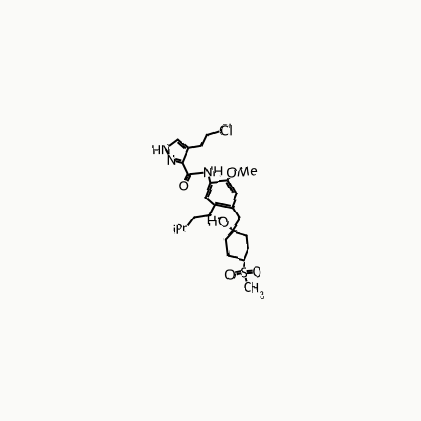 COc1cc(C[C@]2(O)CC[C@@H](S(C)(=O)=O)CC2)c(CCC(C)C)cc1NC(=O)c1n[nH]cc1CCCl